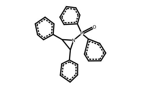 O=P(c1ccccc1)(c1ccccc1)N1C(c2ccccc2)C1c1ccccc1